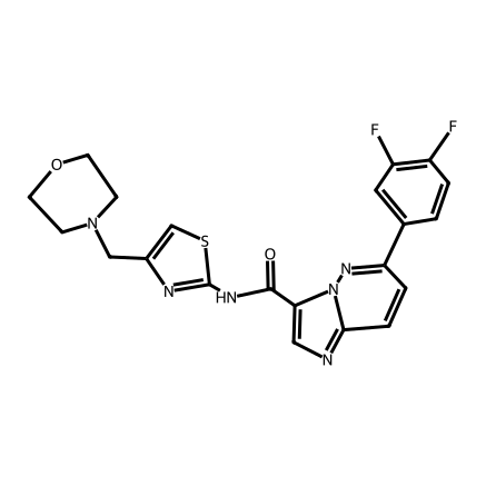 O=C(Nc1nc(CN2CCOCC2)cs1)c1cnc2ccc(-c3ccc(F)c(F)c3)nn12